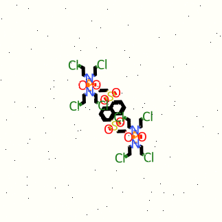 O=P(OCCS(=O)(=O)c1cccc2c(S(=O)(=O)CCOP(=O)(N(CCCl)CCCl)N(CCCl)CCCl)cccc12)(N(CCCl)CCCl)N(CCCl)CCCl